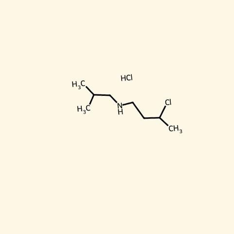 CC(C)CNCCC(C)Cl.Cl